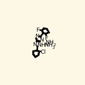 Fc1cccc(F)c1-c1ncc2nc(-c3ccccc3Cl)[nH]c2n1.NN